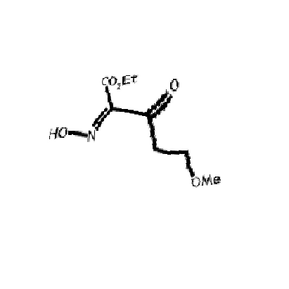 CCOC(=O)/C(=N\O)C(=O)CCOC